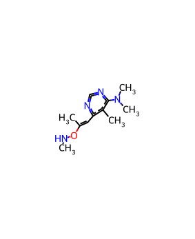 CNO/C(C)=C/c1ncnc(N(C)C)c1C